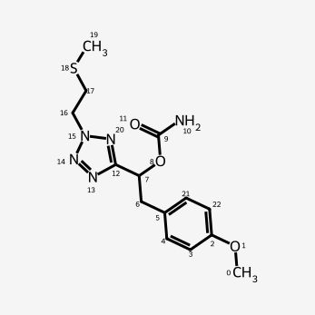 COc1ccc(CC(OC(N)=O)c2nnn(CCSC)n2)cc1